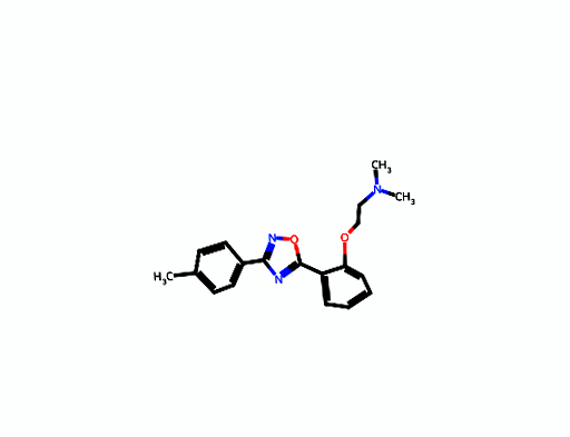 Cc1ccc(-c2noc(-c3ccccc3OCCN(C)C)n2)cc1